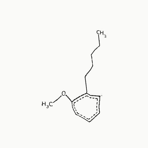 CCCCCc1[c]cccc1OC